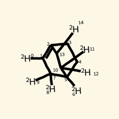 [2H]C1=C2CCC([2H])(C1([2H])[2H])C([2H])([2H])C2[2H]